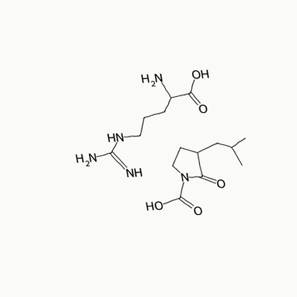 CC(C)CC1CCN(C(=O)O)C1=O.N=C(N)NCCCC(N)C(=O)O